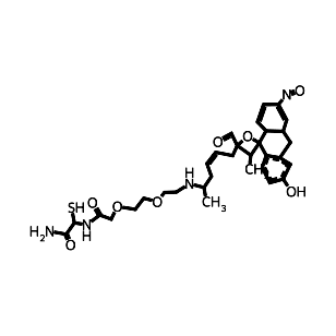 CC(C/C=C\CC1(C=O)OC2(c3ccc(O)cc3CC3C=C(N=O)C=CC32)C1C)NCCOCCOCC(=O)NC(S)C(N)=O